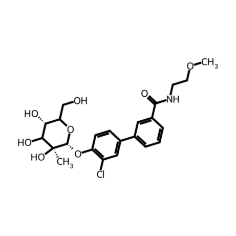 COCCNC(=O)c1cccc(-c2ccc(O[C@H]3OC(CO)[C@@H](O)C(O)[C@]3(C)O)c(Cl)c2)c1